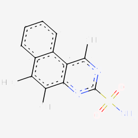 Cc1c(C)c2nc(S(N)(=O)=O)nc(C)c2c2ccccc12